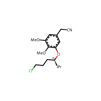 COc1cc(CC#N)cc(O[C@H](CCCCl)C(C)C)c1OC